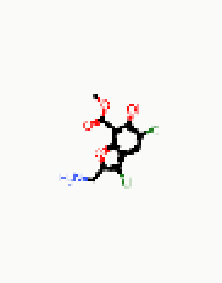 COC(=O)c1c(O)c(Cl)cc2c(Cl)c(CN)oc12